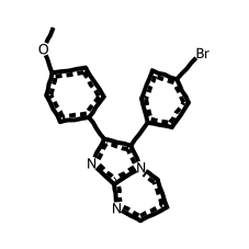 COc1ccc(-c2nc3ncccn3c2-c2ccc(Br)cc2)cc1